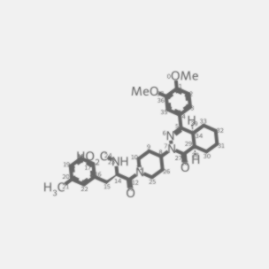 COc1ccc(C2=NN(C3CCN(C(=O)[C@@H](Cc4cccc(C)c4)NC(=O)O)CC3)C(=O)[C@@H]3CCCC[C@H]23)cc1OC